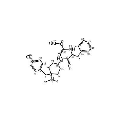 CN(C)C1(Cc2ccc(Cl)cc2)CCC(NC(=O)C(Cc2ccccc2)NC(=O)OC(C)(C)C)CC1